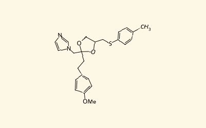 COc1ccc(CCC2(Cn3ccnc3)OCC(CSc3ccc(C)cc3)O2)cc1